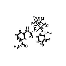 COc1c([C@@H]2[C@H](C(=O)Nc3ccnc(C(N)=O)c3)OC3(C(F)(F)F)C(Cl)C(Cl)C23C)ccc(F)c1F